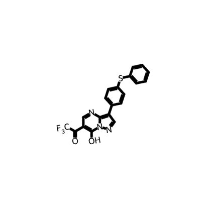 O=C(c1cnc2c(-c3ccc(Sc4ccccc4)cc3)cnn2c1O)C(F)(F)F